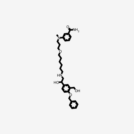 CN(CCCOCCCCCCNCC(O)c1ccc(OCc2ccccc2)c(CO)c1)c1cccc(C(N)=O)c1